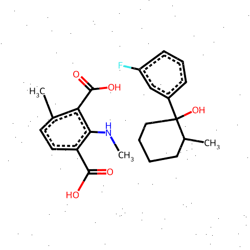 CC1CCCCC1(O)c1cccc(F)c1.CNc1c(C(=O)O)ccc(C)c1C(=O)O